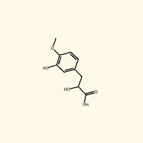 COc1ccc(CC(O)C(=O)O)cc1O